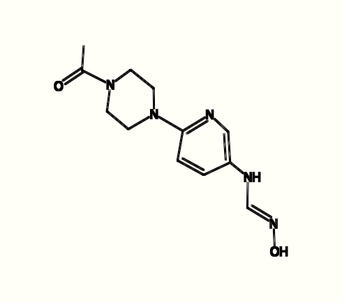 CC(=O)N1CCN(c2ccc(N/C=N/O)cn2)CC1